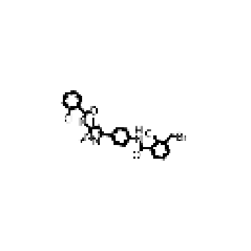 Cn1nc(-c2ccc(NC(=O)c3cccc(CBr)c3Cl)cc2)cc1NC(=O)c1ccccc1Cl